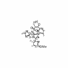 CCCO[C@@H](c1ncc(C)cn1)[C@H](C)S(=O)(=O)Nc1nnc(-c2cccc(OC)n2)n1[C@H](C)c1nc(C)no1